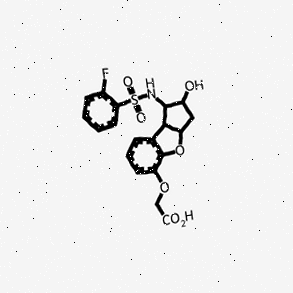 O=C(O)COc1cccc2c1OC1CC(O)C(NS(=O)(=O)c3ccccc3F)C21